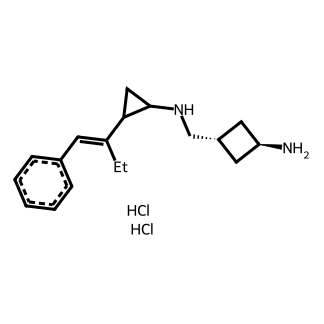 CC/C(=C\c1ccccc1)C1CC1NC[C@H]1C[C@H](N)C1.Cl.Cl